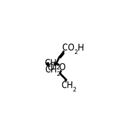 C=C.C=CCOC(=O)C=CC(=O)O